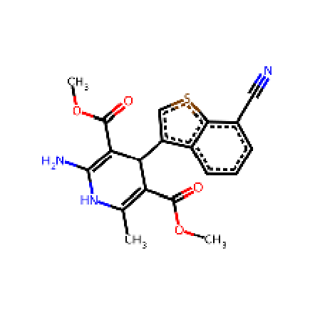 COC(=O)C1=C(C)NC(N)=C(C(=O)OC)C1c1csc2c(C#N)cccc12